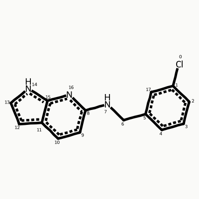 Clc1cccc(CNc2ccc3cc[nH]c3n2)c1